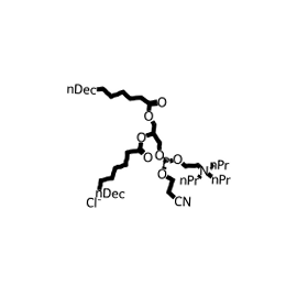 CCCCCCCCCCCCCCCC(=O)OCC(COP(OCCC#N)OCC[N+](CCC)(CCC)CCC)OC(=O)CCCCCCCCCCCCCCC.[Cl-]